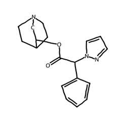 O=C(OC1CN2CCC1CC2)C(c1ccccc1)n1cccn1